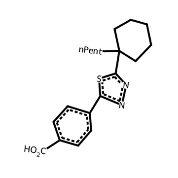 CCCCCC1(c2nnc(-c3ccc(C(=O)O)cc3)s2)CCCCC1